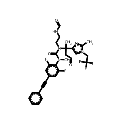 Cc1nc(C(C)(CC=O)N(CCNC=O)C(=O)N(C)c2c(F)cc(C#Cc3ccccc3)cc2F)cn1CC(F)(F)F